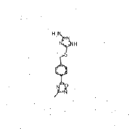 Cc1noc(-c2ccc(CSc3nc(N)n[nH]3)cc2)n1